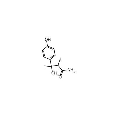 CC(F)(c1ccc(O)cc1)C(I)C(N)=O